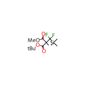 COC(=O)C(C)(C(=O)OC(C)(C)C)C(F)(F)[Si](C)(C)C